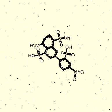 Nc1ccc(S(=O)(=O)O)c2cc(-c3ccc([N+](=O)[O-])cc3S(=O)(=O)O)cc(S(=O)(=O)O)c12